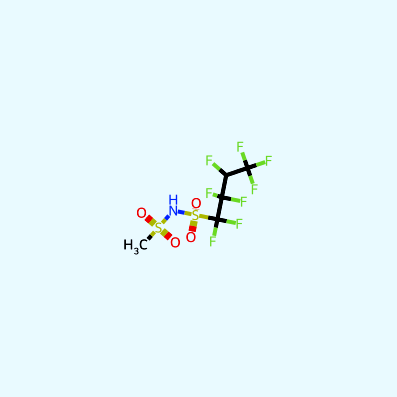 CS(=O)(=O)NS(=O)(=O)C(F)(F)C(F)(F)C(F)C(F)(F)F